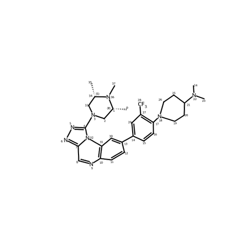 C[C@@H]1CN(c2nnc3cnc4ccc(-c5ccc(N6CCC(N(C)C)CC6)c(C(F)(F)F)c5)cc4n23)C[C@H](C)N1C